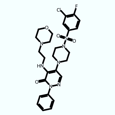 O=c1c(NCCN2CCOCC2)c(N2CCN(S(=O)(=O)c3ccc(F)c(Cl)c3)CC2)cnn1-c1ccccc1